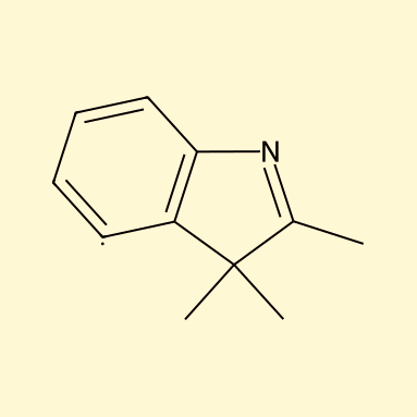 CC1=Nc2ccc[c]c2C1(C)C